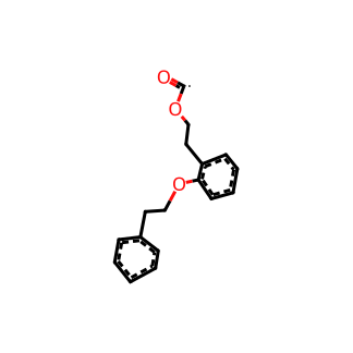 O=[C]OCCc1ccccc1OCCc1ccccc1